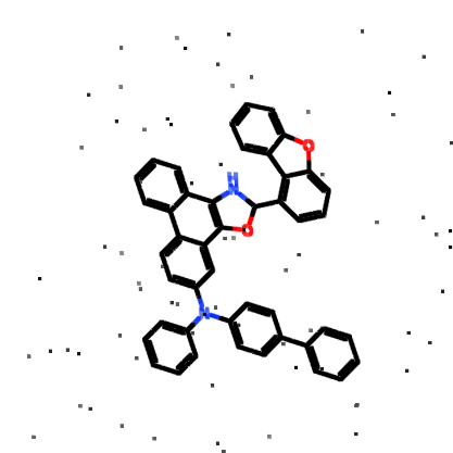 c1ccc(-c2ccc(N(c3ccccc3)c3ccc4c(c3)c3c(c5ccccc54)NC(c4cccc5oc6ccccc6c45)O3)cc2)cc1